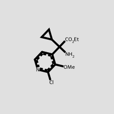 CCOC(=O)C(N)(c1ccnc(Cl)c1OC)C1CC1